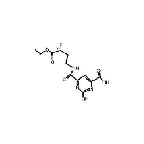 CCOC(=O)[C@H](C)CCNC(=O)c1cc(C(=O)O)nc(O)n1